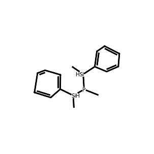 C[SiH](c1ccccc1)P(C)[SiH](C)c1ccccc1